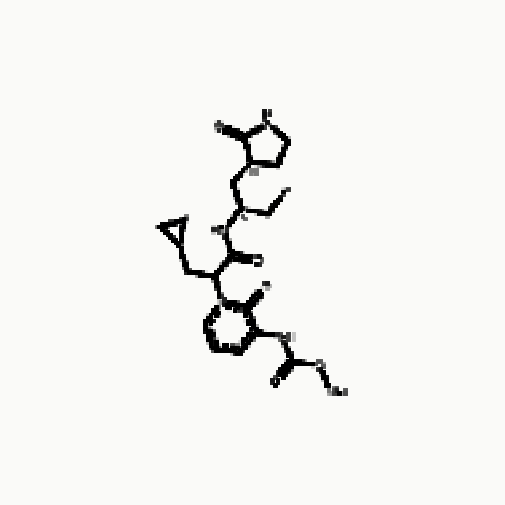 CC(C)(C)OC(=O)Nc1cccn(C(CC2CC2)C(=O)N[C@H](CO)C[C@@H]2CCNC2=O)c1=O